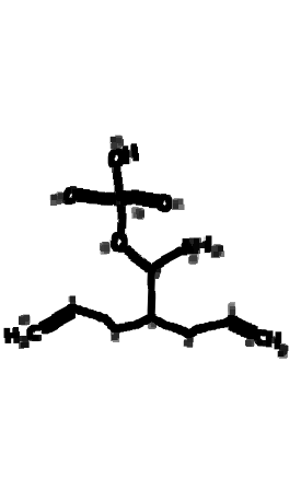 C=CCC(CC=C)C(N)OS(=O)(=O)O